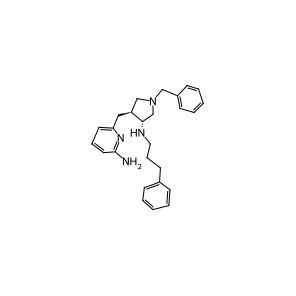 Nc1cccc(C[C@H]2CN(Cc3ccccc3)C[C@@H]2NCCCc2ccccc2)n1